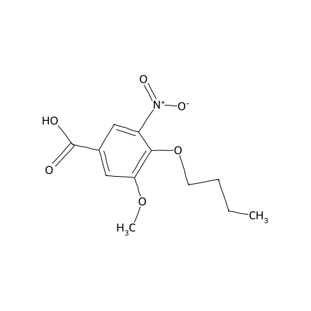 CCCCOc1c(OC)cc(C(=O)O)cc1[N+](=O)[O-]